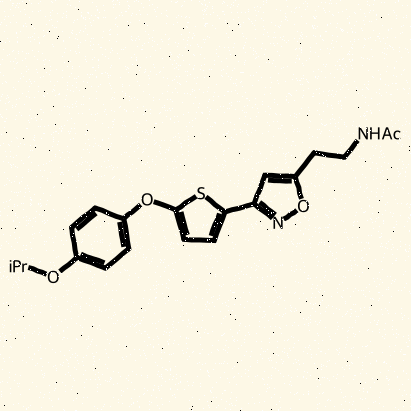 CC(=O)NCCc1cc(-c2ccc(Oc3ccc(OC(C)C)cc3)s2)no1